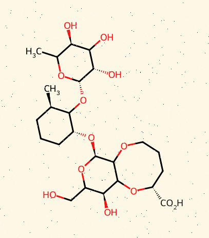 CC1O[C@@H](OC2[C@H](C)CCC[C@H]2O[C@@H]2OC(CO)[C@H](O)C3O[C@@H](C(=O)O)CCCOC32)[C@@H](O)C(O)[C@@H]1O